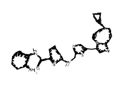 Nc1ccccc1NC(=O)c1ccc(Nc2ncc(-c3cnc4ccc(C5CC5)cn34)s2)s1